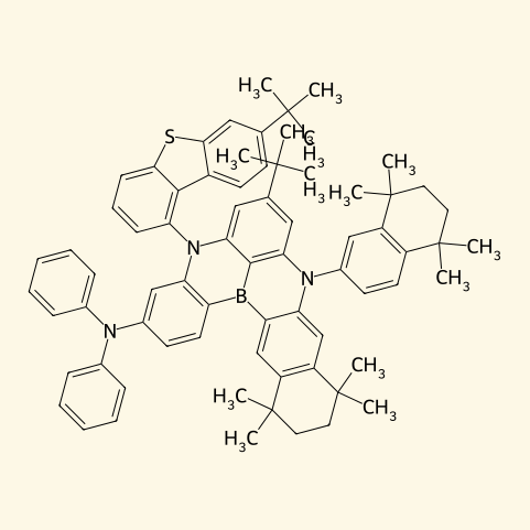 CC(C)(C)c1cc2c3c(c1)N(c1cccc4sc5cc(C(C)(C)C)ccc5c14)c1cc(N(c4ccccc4)c4ccccc4)ccc1B3c1cc3c(cc1N2c1ccc2c(c1)C(C)(C)CCC2(C)C)C(C)(C)CCC3(C)C